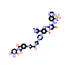 COc1cc(N2CCN(C3CN(C(=O)C4CN(c5ccc6c(c5)C(=O)N(C5CCC(=O)NC5=O)C6=O)C4)C3)CC2)c(-c2cnn(C)c2)cc1Nc1ncc(Br)c(Nc2ccc3nccnc3c2N(C)S(C)(=O)=O)n1